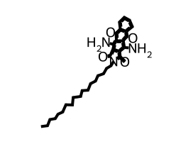 CCCCCCCCCCCCCCCCCCn1c(=O)c2c(N)c3c(=O)c4ccccc4c(=O)c3c(N)c2c1=O